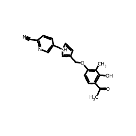 CC(=O)c1ccc(OCC2=C[SH](c3ccc(C#N)nc3)C=C2)c(C)c1O